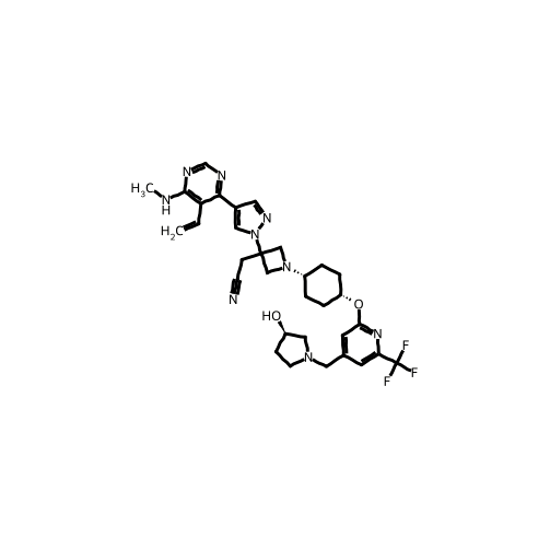 C=Cc1c(NC)ncnc1-c1cnn(C2(CC#N)CN([C@H]3CC[C@@H](Oc4cc(CN5CC[C@@H](O)C5)cc(C(F)(F)F)n4)CC3)C2)c1